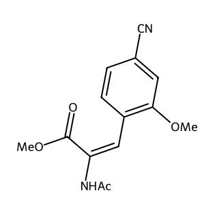 COC(=O)/C(=C\c1ccc(C#N)cc1OC)NC(C)=O